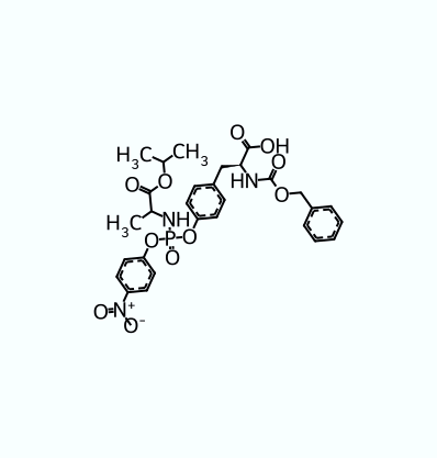 CC(C)OC(=O)C(C)NP(=O)(Oc1ccc(C[C@H](NC(=O)OCc2ccccc2)C(=O)O)cc1)Oc1ccc([N+](=O)[O-])cc1